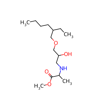 CCCCC(CC)COCC(O)CNC(C)C(=O)OC